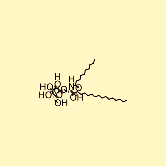 CCCCCCCCCCCCCCC[C@@H](O)[C@H](CO[C@H]1O[C@H](CO)[C@H](O)[C@H](O)[C@H]1O)NC(=O)CCCCCCCCC